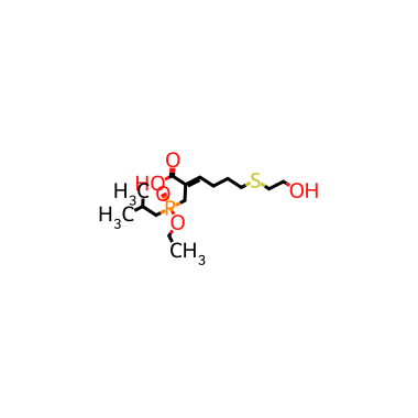 CCOP(=O)(C/C(=C\CCCSCCO)C(=O)O)CC(C)C